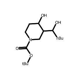 CCCCC(O)C1CN(C(=O)OC(C)(C)C)CCC1O